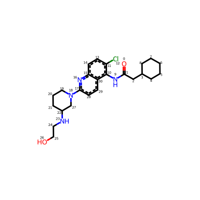 O=C(CC1CCCCC1)Nc1c(Cl)ccc2nc(N3CCCC(NCCO)C3)ccc12